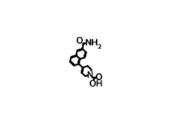 NC(=O)c1ccc2c(C3=CCN(C(=O)O)CC3)cccc2c1